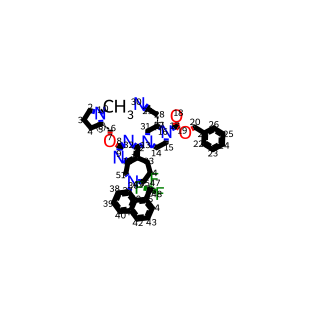 CN1CCC[C@H]1COc1nc2c(c(N3CCN(C(=O)OCc4ccccc4)[C@@H](CC#N)C3)n1)CCCN(c1cccc3cccc(C(F)(F)F)c13)C2